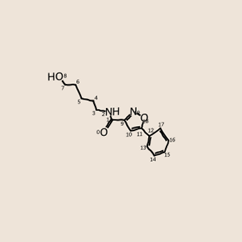 O=C(NCCCCCO)c1cc(-c2ccccc2)on1